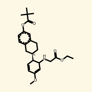 CCOC(=O)CNC1C=C(OC)C=CC1[C@@H]1CCc2cc(OC(=O)C(C)(C)C)ccc2C1